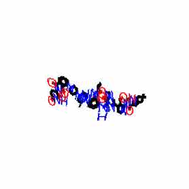 C=CC(=O)Nc1cc(Nc2nc(-c3ccnc(N4CCn5c(cc6c5CC(C)(C)C6)C4=O)c3CO)cn(C)c2=O)ccc1N1CCN(C2CCN(c3cccc4c3C(=O)N(C3CCC(=O)NC3=O)C4=O)CC2)C[C@@H]1C